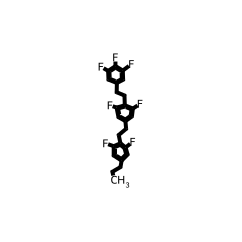 CCCc1cc(F)c(CCc2cc(F)c(CCc3cc(F)c(F)c(F)c3)c(F)c2)c(F)c1